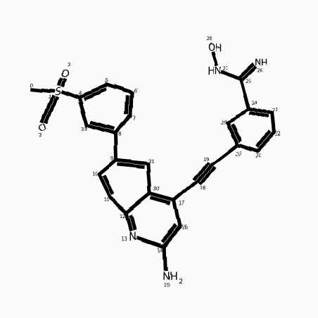 CS(=O)(=O)c1cccc(-c2ccc3nc(N)cc(C#Cc4cccc(C(=N)NO)c4)c3c2)c1